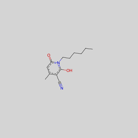 CCCCCCn1c(O)c(C#N)c(C)cc1=O